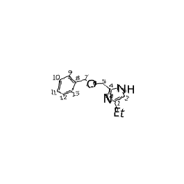 CCc1c[nH]c(COCc2ccccc2)n1